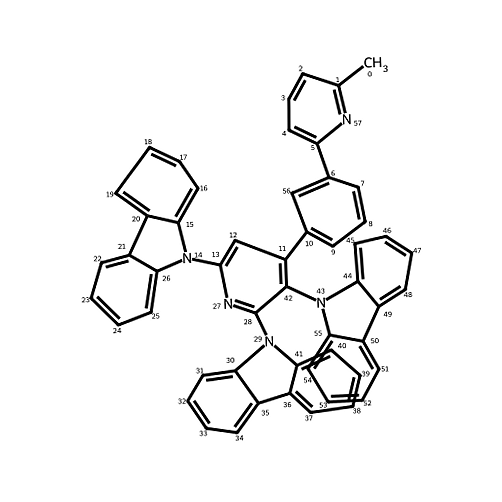 Cc1cccc(-c2cccc(-c3cc(-n4c5ccccc5c5ccccc54)nc(-n4c5ccccc5c5ccccc54)c3-n3c4ccccc4c4ccccc43)c2)n1